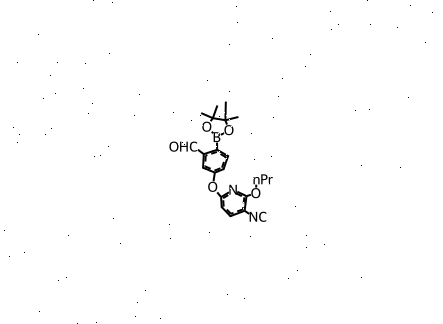 [C-]#[N+]c1ccc(Oc2ccc(B3OC(C)(C)C(C)(C)O3)c(C=O)c2)nc1OCCC